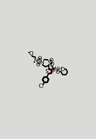 COCCN(C)S(=O)(=O)N1CC[C@](CC(=O)NOC2CCCCO2)(c2ccc(-c3ccc(Cl)cc3)s2)S(=O)(=O)CC1